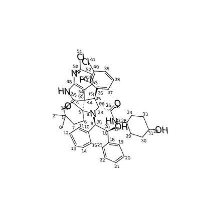 CC1(C)CCC2(CC1)N([C@H](c1ccccc1)[C@@H](O)c1ccccc1)[C@@H](C(=O)NC1CCC(O)CC1)[C@H](c1cccc(Cl)c1F)[C@]21C(=O)Nc2nc(Cl)ccc21